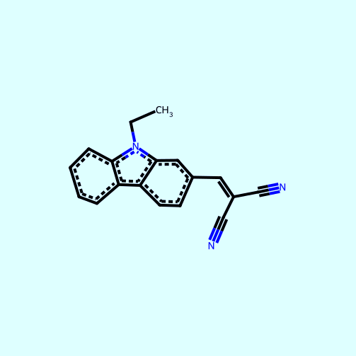 CCn1c2ccccc2c2ccc(C=C(C#N)C#N)cc21